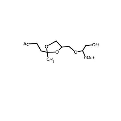 CCCCCCCCC(CO)OCC1COC(C)(CCC(C)=O)O1